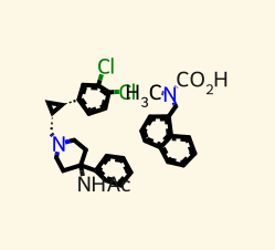 CC(=O)NC1(c2ccccc2)CCN(C[C@@H]2C[C@@H]2c2ccc(Cl)c(Cl)c2)CC1.CN(Cc1cccc2ccccc12)C(=O)O